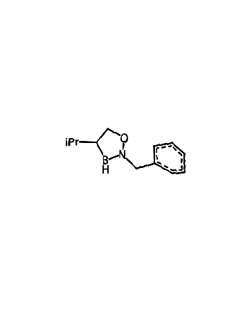 CC(C)C1BN(Cc2ccccc2)OC1